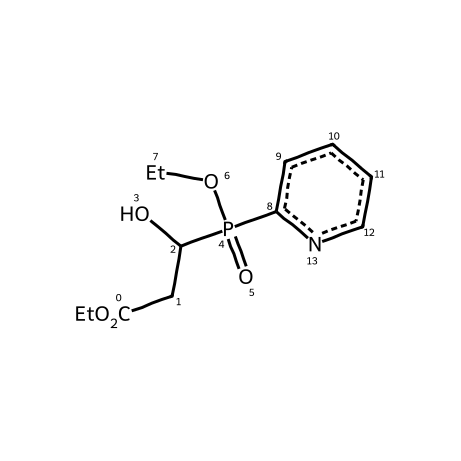 CCOC(=O)CC(O)P(=O)(OCC)c1ccccn1